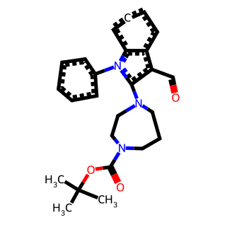 CC(C)(C)OC(=O)N1CCCN(c2c(C=O)c3ccccc3n2-c2ccccc2)CC1